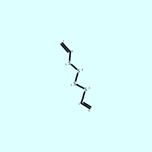 C=CSSSSC=C